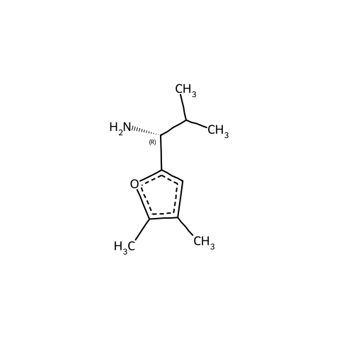 Cc1cc([C@H](N)C(C)C)oc1C